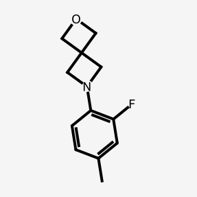 Cc1ccc(N2CC3(COC3)C2)c(F)c1